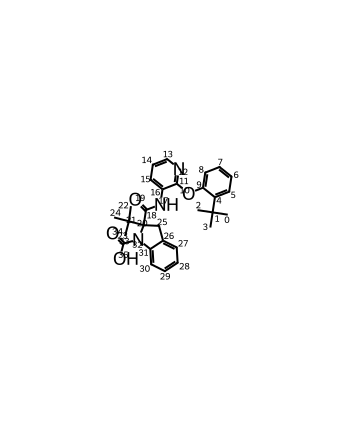 CC(C)(C)c1ccccc1Oc1ncccc1NC(=O)C1(C(C)(C)C)Cc2ccccc2N1C(=O)O